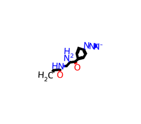 C=CC(=O)NCC(N)C(=O)c1ccc(N=[N+]=[N-])cc1